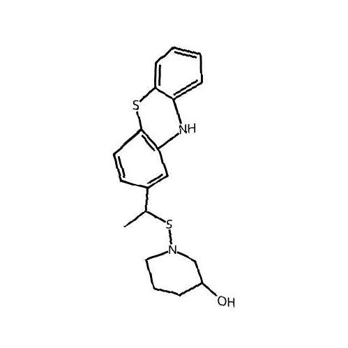 CC(SN1CCCC(O)C1)c1ccc2c(c1)Nc1ccccc1S2